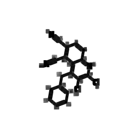 N#Cc1ccc2nc(Cl)c(Cl)c(Cc3ccccc3)c2c1C#N